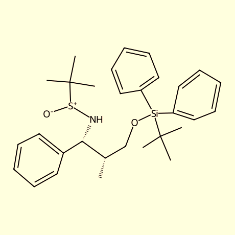 C[C@@H](CO[Si](c1ccccc1)(c1ccccc1)C(C)(C)C)[C@@H](N[S+]([O-])C(C)(C)C)c1ccccc1